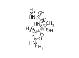 CNC(=O)CN(C)C(=O)[C@@H](NC(=O)[C@H](C)NC)[C@@H](C)O